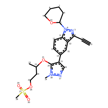 C#Cc1nn(C2CCCCO2)c2ccc(-c3cnn(C)c3OC(C)CCOS(C)(=O)=O)cc12